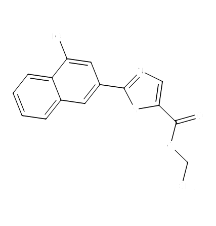 CCOC(=O)c1cnc(-c2cc(O)c3ccccc3c2)s1